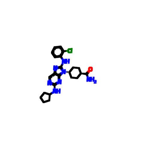 NC(=O)[C@H]1CC[C@H](n2c(Nc3ccccc3Cl)nc3cnc(NC4CCCC4)nc32)CC1